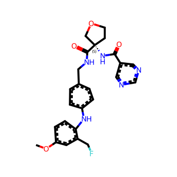 COc1ccc(Nc2ccc(CNC(=O)[C@]3(NC(=O)c4cncnc4)CCOC3)cc2)c(CF)c1